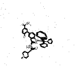 CN1CCC(C(=O)Nc2nn(C(c3ccccc3)(c3ccccc3)c3ccccc3)c3ccc(-c4cc(C(N)=O)ccc4Cl)cc23)CC1